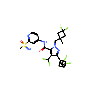 CC1(Cn2nc(C34CC(C3)C4(F)F)c(C(F)F)c2C(=O)Nc2ccnc(S(C)(=N)=O)c2)CC(F)(F)C1